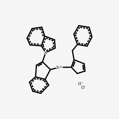 C1=CC(Cc2ccccc2)=[C]([Zr+2][CH]2C(n3ccc4ccccc43)=Cc3ccccc32)C1.[Cl-].[Cl-]